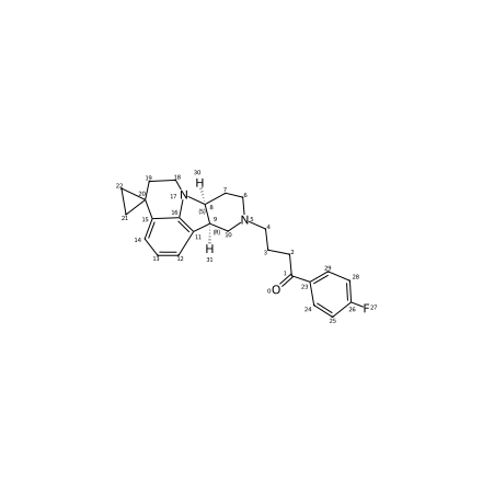 O=C(CCCN1CC[C@H]2[C@@H](C1)c1cccc3c1N2CCC31CC1)c1ccc(F)cc1